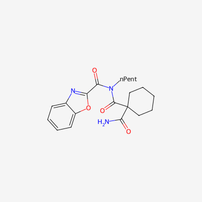 CCCCCN(C(=O)c1nc2ccccc2o1)C(=O)C1(C(N)=O)CCCCC1